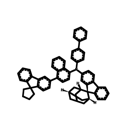 c1ccc(-c2ccc(N(c3ccc4c(c3)[C@]3(c5ccccc5-4)[C@@H]4CC5C[C@@H](C4)C[C@@H]3C5)c3ccc(-c4ccc5c(c4)-c4ccccc4C54CCCC4)c4ccccc34)cc2)cc1